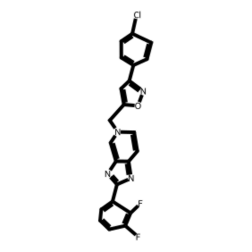 Fc1cccc(-c2nc3ccn(Cc4cc(-c5ccc(Cl)cc5)no4)cc-3n2)c1F